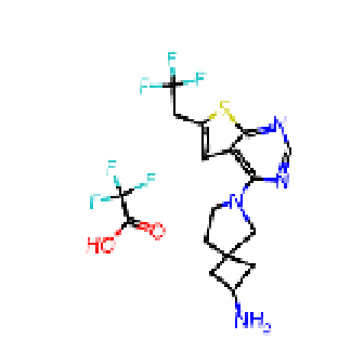 NC1CC2(CCN(c3ncnc4sc(CC(F)(F)F)cc34)C2)C1.O=C(O)C(F)(F)F